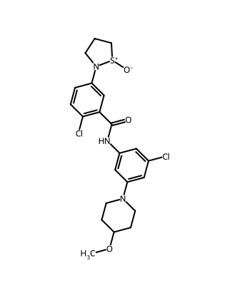 COC1CCN(c2cc(Cl)cc(NC(=O)c3cc(N4CCC[S+]4[O-])ccc3Cl)c2)CC1